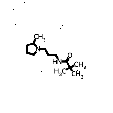 CC1CCCN1CCCNC(=O)C(C)(C)C